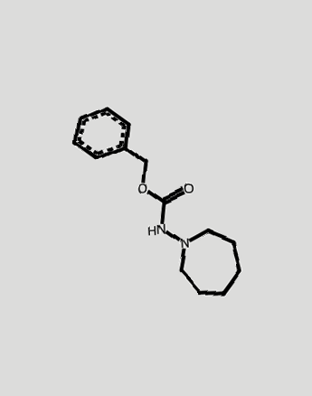 O=C(NN1CCCCCC1)OCc1ccccc1